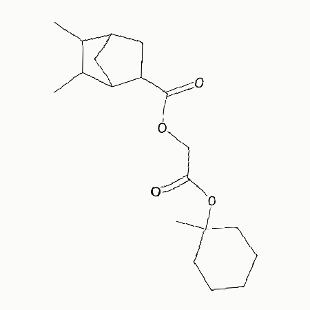 CC1C2CC(C(=O)OCC(=O)OC3(C)CCCCC3)C(C2)C1C